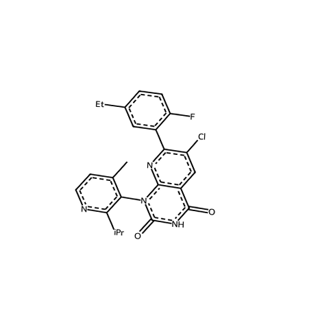 CCc1ccc(F)c(-c2nc3c(cc2Cl)c(=O)[nH]c(=O)n3-c2c(C)ccnc2C(C)C)c1